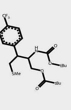 CSCC(c1ccc(C(F)(F)F)cc1)C(COC(=O)C(C)(C)C)NC(=O)OC(C)(C)C